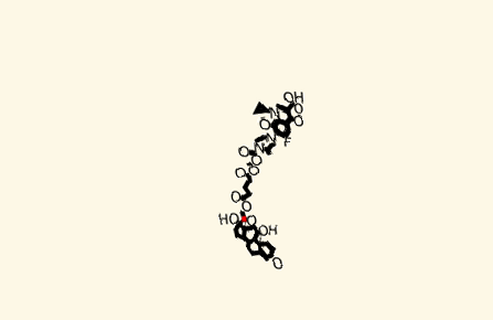 COc1c(N2CCN(C(=O)OCOC(=O)CCCC(=O)OCC(=O)[C@@]3(O)CCC4C5CCC6=CC(=O)C=C[C@]6(C)C5[C@@H](O)C[C@@]43C)C(C)C2)c(F)cc2c(=O)c(C(=O)O)cn(C3CC3)c12